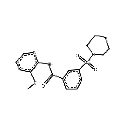 COc1cccnc1NC(=O)c1cccc(S(=O)(=O)N2CCCCC2)c1